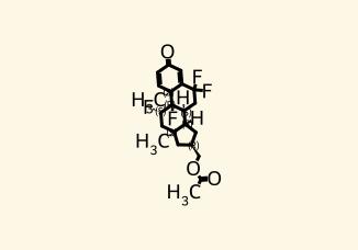 CC(=O)OC[C@@H]1C[C@H]2[C@@H]3CC(F)(F)C4=CC(=O)C=C[C@]4(C)[C@@]3(F)[C@@H](F)C[C@]2(C)C1